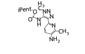 CCCC(C)OC(=O)Nc1c(-c2ccc(N)c(C)n2)nnn1C